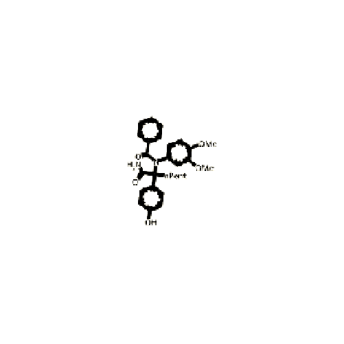 CCCCCC(C(N)=O)(c1ccc(O)cc1)N(C(=O)c1ccccc1)c1ccc(OC)c(OC)c1